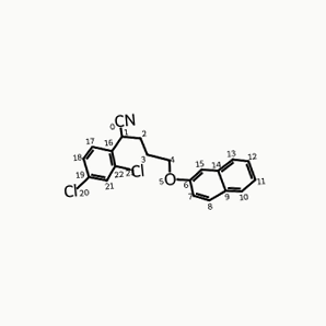 N#CC(CCCOc1ccc2ccccc2c1)c1ccc(Cl)cc1Cl